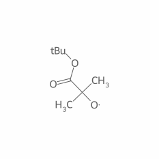 CC(C)(C)OC(=O)C(C)(C)[O]